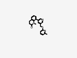 Cc1cccc(SCc2cncc(-c3cccc4c3N(C)C(=O)CC4)c2)n1